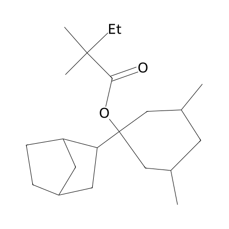 CCC(C)(C)C(=O)OC1(C2CC3CCC2C3)CC(C)CC(C)C1